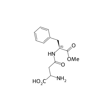 COC(=O)[C@H](Cc1ccccc1)NC(=O)CC(N)C(=O)O